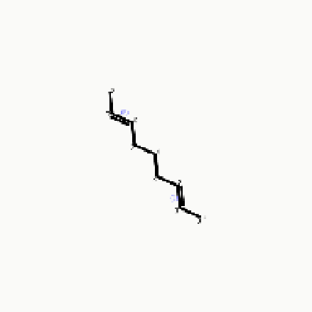 [CH2]/C=C/CCC/C=C/C